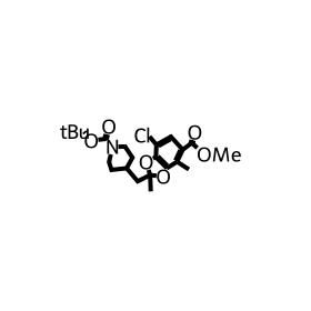 COC(=O)c1cc(Cl)c2c(c1C)OC(C)(CC1CCN(C(=O)OC(C)(C)C)CC1)O2